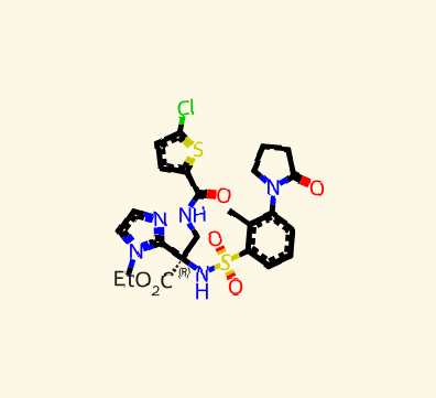 CCOC(=O)[C@](CNC(=O)c1ccc(Cl)s1)(NS(=O)(=O)c1cccc(N2CCCC2=O)c1C)c1nccn1C